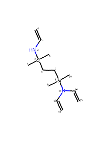 C=CN[Si](C)(C)CC[Si](C)(C)N(C=C)C=C